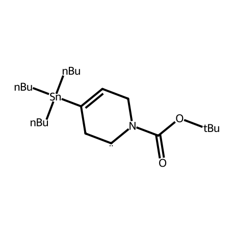 CCC[CH2][Sn]([CH2]CCC)([CH2]CCC)[C]1=CCN(C(=O)OC(C)(C)C)[C]C1